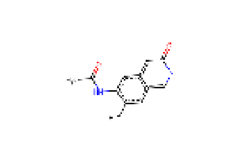 CC(=O)Nc1cc2c(cc1C)=C[N]C(=O)C=2